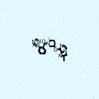 Cc1cn2ccnc(O[C@@H]3CC[C@@H](C)N(C(=O)c4ccccc4-n4ncnn4)C3)c2n1